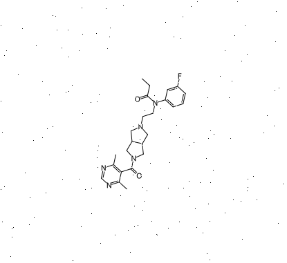 CCC(=O)N(CCN1CC2CN(C(=O)c3c(C)ncnc3C)CC2C1)c1cccc(F)c1